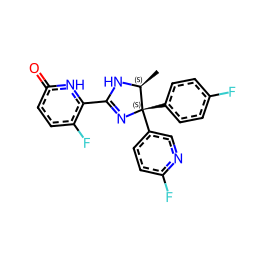 C[C@@H]1NC(c2[nH]c(=O)ccc2F)=N[C@@]1(c1ccc(F)cc1)c1ccc(F)nc1